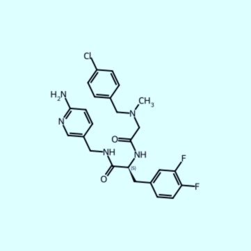 CN(CC(=O)N[C@@H](Cc1ccc(F)c(F)c1)C(=O)NCc1ccc(N)nc1)Cc1ccc(Cl)cc1